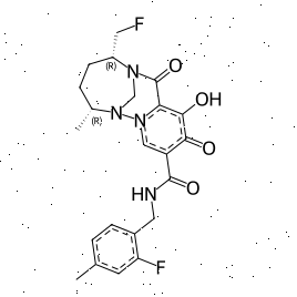 Cc1ccc(CNC(=O)c2cn3c(c(O)c2=O)C(=O)N2CN3[C@H](C)CC[C@@H]2CF)c(F)c1